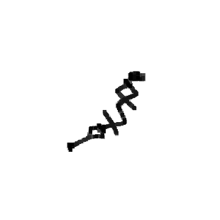 CC1(CCC(C)(C)N2CC(F)C2)CN(C(C)(C)C)C1